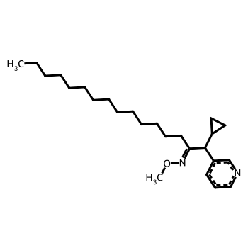 CCCCCCCCCCCCCCC(=NOC)C(c1cccnc1)C1CC1